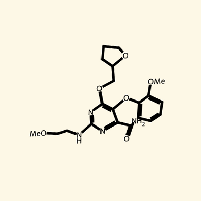 COCCNc1nc(OCC2CCCO2)c(Oc2ccccc2OC)c(C(N)=O)n1